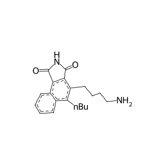 CCCCc1c(CCCCN)c2c(c3ccccc13)C(=O)NC2=O